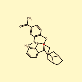 COc1cc(C(C)=O)ccc1OCCCN1C2CCC1CC(c1n[nH]c3ccccc13)C2